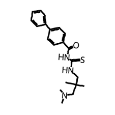 CN(C)CC(C)(C)CNC(=S)NC(=O)c1ccc(-c2ccccc2)cc1